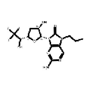 CCCn1c(=O)n([C@@H]2O[C@H](C(O)C(F)(F)F)C[C@H]2O)c2nc(N)ncc21